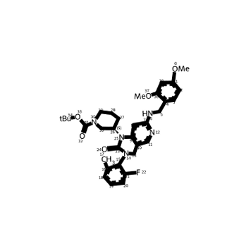 COc1ccc(CNc2cc3c(cn2)CN(c2c(C)cccc2F)C(=O)N3[C@H]2CCCN(C(=O)OC(C)(C)C)C2)c(OC)c1